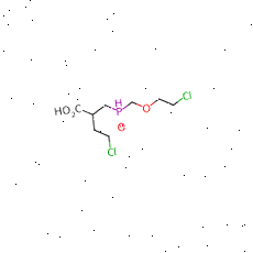 O=C(O)C(CCCl)C[PH](=O)COCCCl